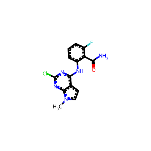 Cn1ccc2c(Nc3cccc(F)c3C(N)=O)nc(Cl)nc21